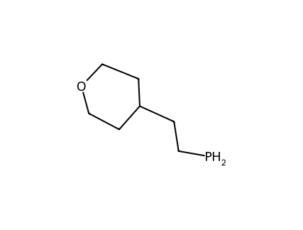 PCCC1CCOCC1